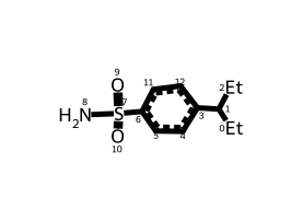 CCC(CC)c1ccc(S(N)(=O)=O)cc1